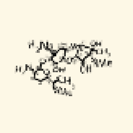 CNC(C)[C@@H]1CC[C@@H](N)[C@@H](O[C@H]2[C@H](O)[C@@H](O[C@H]3OC[C@](C)(O)[C@H](NC)[C@H]3O)[C@H](N)C[C@@H]2N)O1